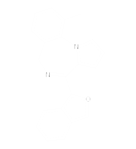 Cc1cccc2c1-n1cccc1C(c1occ3ccccc13)=NC2